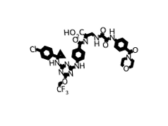 O=C(NC/C(=N/C(=O)c1ccc(Nc2nc(NC3(c4ccc(Cl)cc4)CC3)nc(OCC(F)(F)F)n2)cc1)C(=O)O)C(=O)Nc1ccc(C(=O)N2CCOCC2)cc1